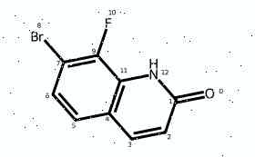 O=c1ccc2ccc(Br)c(F)c2[nH]1